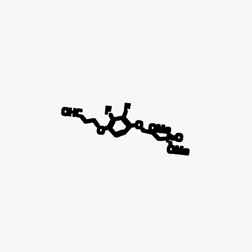 COP(=O)(CCCOc1ccc(OCCC=O)c(F)c1F)OC